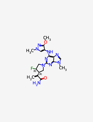 C=C(C(N)=O)[C@@H]1CN(c2nc(Nc3cn(C)nc3OC)c3ncn(C)c3n2)C[C@@H]1F